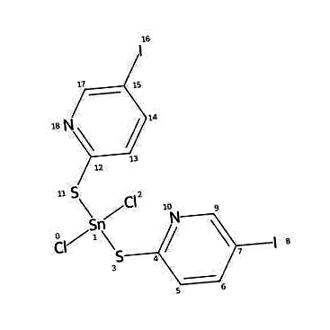 [Cl][Sn]([Cl])([S]c1ccc(I)cn1)[S]c1ccc(I)cn1